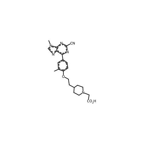 Cc1cc(-c2nc(C#N)nc3c2ncn3C)ccc1OCCC1CCN(CC(=O)O)CC1